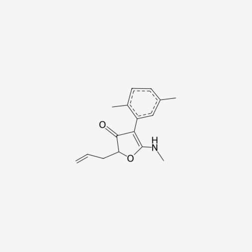 C=CCC1OC(NC)=C(c2cc(C)ccc2C)C1=O